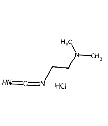 CN(C)CCN=C=N.Cl